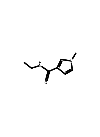 CCNC(=O)c1ccn(C)c1